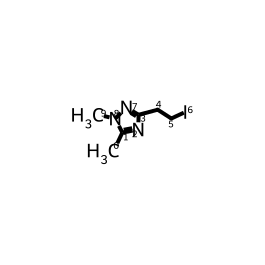 Cc1nc(CCI)nn1C